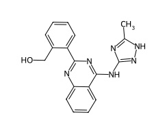 Cc1nc(Nc2nc(-c3ccccc3CO)nc3ccccc23)n[nH]1